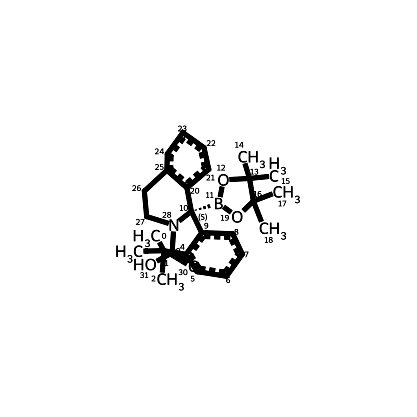 CC(C)(C)c1ccccc1[C@]1(B2OC(C)(C)C(C)(C)O2)c2ccccc2CCN1C(=O)O